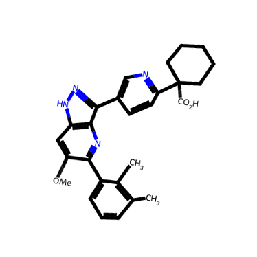 COc1cc2[nH]nc(-c3ccc(C4(C(=O)O)CCCCC4)nc3)c2nc1-c1cccc(C)c1C